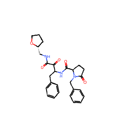 O=C(NC[C@H]1CCCO1)C(=O)C(Cc1ccccc1)NC(=O)C1CCC(=O)N1Cc1ccccc1